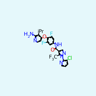 CC(C)c1c(Oc2c(F)cc(NC(=O)c3cnn(-c4ncccc4Cl)c3C(F)(F)F)cc2F)ccnc1N